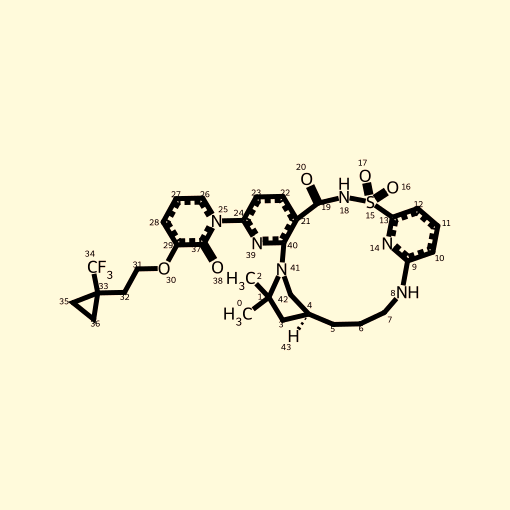 CC1(C)C[C@@H]2CCCNc3cccc(n3)S(=O)(=O)NC(=O)c3ccc(-n4cccc(OCCC5(C(F)(F)F)CC5)c4=O)nc3N1C2